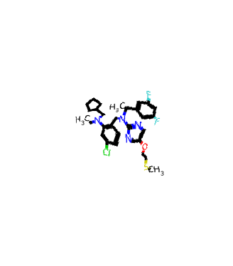 CCN(CC1CCCC1)c1cc(Cl)ccc1CN(c1ncc(OCCSC)cn1)C(C)c1cc(F)cc(F)c1